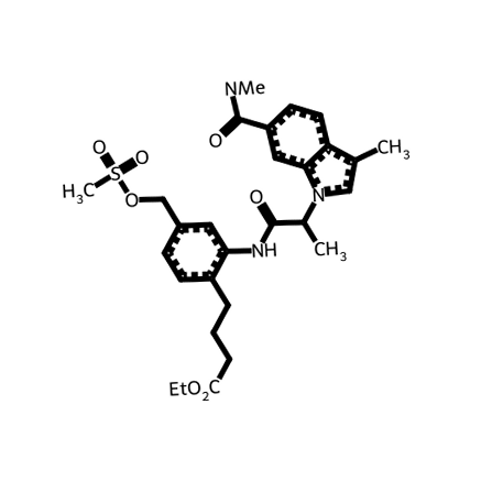 CCOC(=O)CCCc1ccc(COS(C)(=O)=O)cc1NC(=O)C(C)n1cc(C)c2ccc(C(=O)NC)cc21